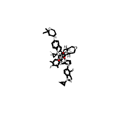 Cc1cc(-n2nc3c(c2-n2ccn(-c4ccc5c(cnn5C5CC5)c4F)c2=O)[C@@H]2COC[C@H](C3)N2C(=O)c2cc3cc([C@H]4CCOC(C)(C)C4)ccc3n2[C@@]2(c3noc(=O)[nH]3)C[C@@H]2C)cc(C)c1F